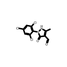 Cc1[nH]n(-c2c(Cl)cc(Cl)cc2Cl)c(=O)c1C=O